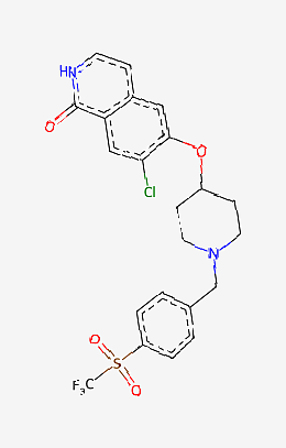 O=c1[nH]ccc2cc(OC3CCN(Cc4ccc(S(=O)(=O)C(F)(F)F)cc4)CC3)c(Cl)cc12